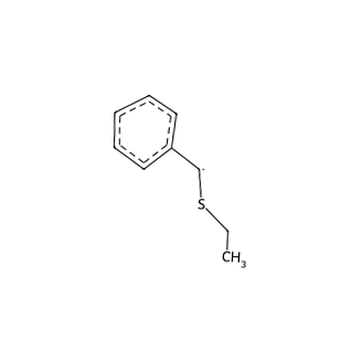 CCS[CH]c1ccccc1